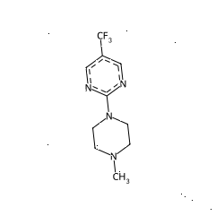 CN1CCN(c2ncc(C(F)(F)F)cn2)CC1